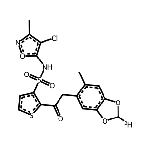 [2H]C1Oc2cc(C)c(CC(=O)c3sccc3S(=O)(=O)Nc3onc(C)c3Cl)cc2O1